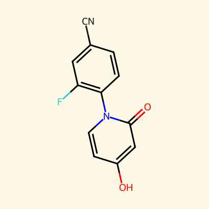 N#Cc1ccc(-n2ccc(O)cc2=O)c(F)c1